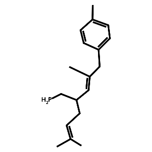 CC(C)=CCC(/C=C(\C)Cc1ccc(C)cc1)CP